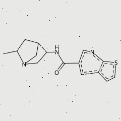 CC1CC2CN1CC2NC(=O)c1cnc2sccc2c1